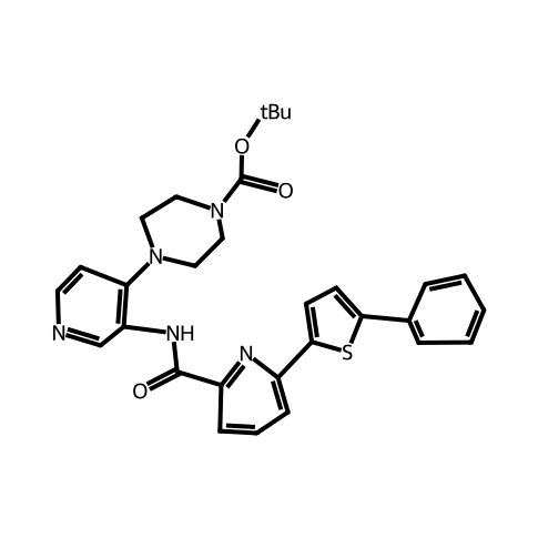 CC(C)(C)OC(=O)N1CCN(c2ccncc2NC(=O)c2cccc(-c3ccc(-c4ccccc4)s3)n2)CC1